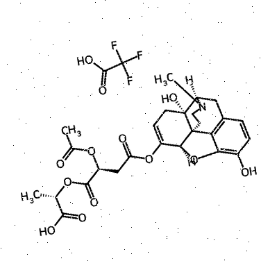 CC(=O)O[C@@H](CC(=O)OC1=CC[C@@]2(O)[C@H]3Cc4ccc(O)c5c4[C@@]2(CCN3C)[C@H]1O5)C(=O)O[C@@H](C)C(=O)O.O=C(O)C(F)(F)F